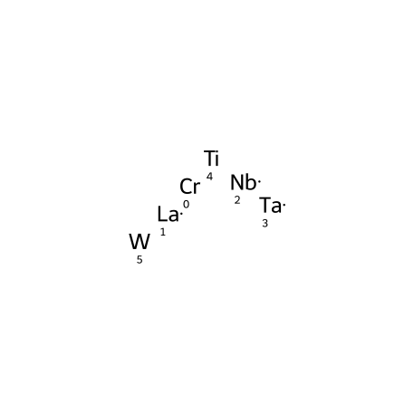 [Cr].[La].[Nb].[Ta].[Ti].[W]